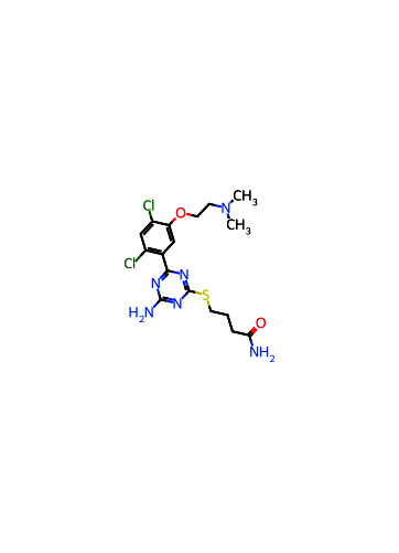 CN(C)CCOc1cc(-c2nc(N)nc(SCCCC(N)=O)n2)c(Cl)cc1Cl